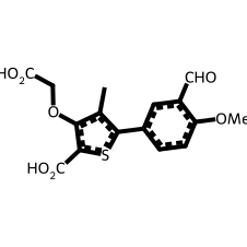 COc1ccc(-c2sc(C(=O)O)c(OCC(=O)O)c2C)cc1C=O